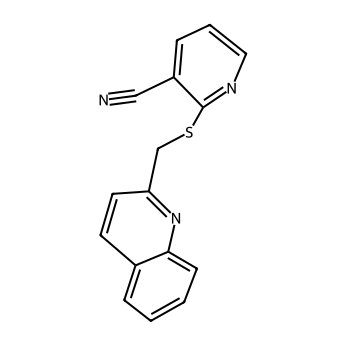 N#Cc1cccnc1SCc1ccc2ccccc2n1